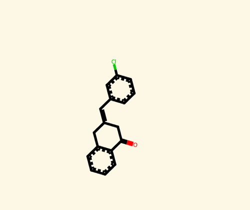 O=C1CC(=Cc2cccc(Cl)c2)Cc2ccccc21